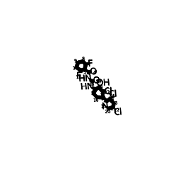 O=C(NC(=O)c1c(F)cccc1F)Nc1ccc(-c2ncc(Cl)cc2Cl)c(Cl)c1O